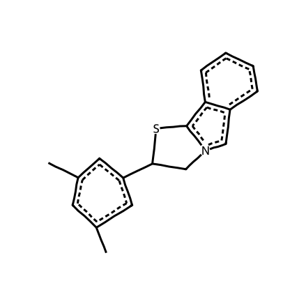 Cc1cc(C)cc(C2Cn3cc4ccccc4c3S2)c1